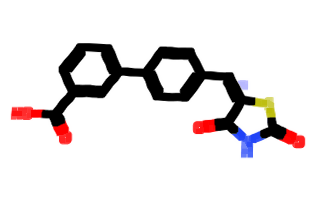 O=C1NC(=O)/C(=C\c2ccc(-c3cccc(C(=O)O)c3)cc2)S1